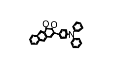 O=C1C(=O)c2cc3ccccc3cc2C=C1c1ccc(N(c2ccccc2)c2ccccc2)cc1